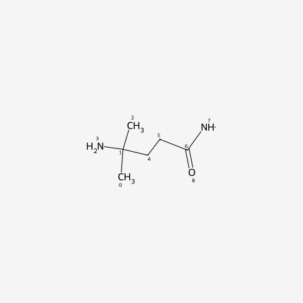 CC(C)(N)CCC([NH])=O